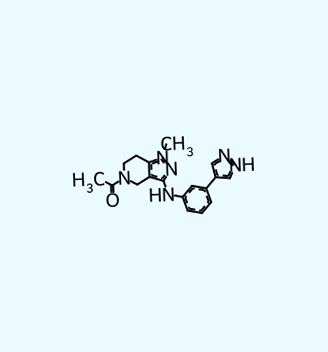 CC(=O)N1CCc2c(c(Nc3cccc(-c4cn[nH]c4)c3)nn2C)C1